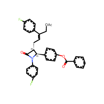 CC(=O)OCC(=CC[C@H]1C(=O)N(c2ccc(F)cc2)[C@@H]1c1ccc(OC(=O)c2ccccc2)cc1)c1ccc(F)cc1